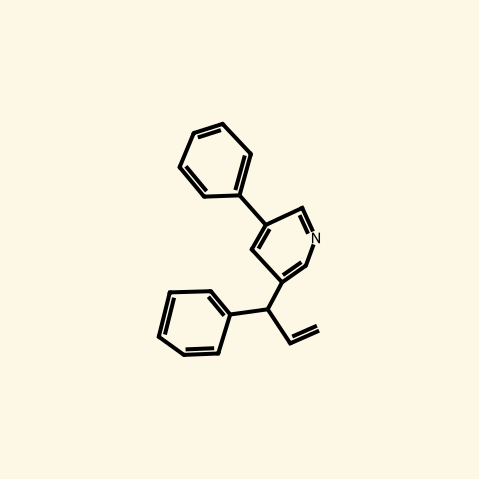 C=CC(c1ccccc1)c1cncc(-c2ccccc2)c1